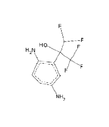 Nc1ccc(N)c(C(O)(C(F)F)C(F)(F)F)c1